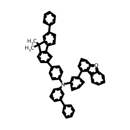 CC1(C)c2ccc(-c3ccc(N(c4cccc(-c5ccccc5)c4)c4cccc(-c5cccc6oc7ccccc7c56)c4)cc3)cc2-c2ccc(-c3ccccc3)cc21